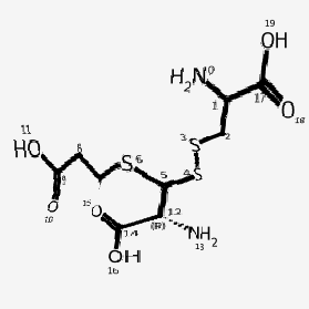 NC(CSSC(SCCC(=O)O)[C@H](N)C(=O)O)C(=O)O